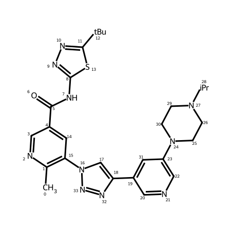 Cc1ncc(C(=O)Nc2nnc(C(C)(C)C)s2)cc1-n1cc(-c2cncc(N3CCN(C(C)C)CC3)c2)nn1